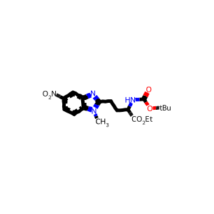 CCOC(=O)C(CCc1nc2cc([N+](=O)[O-])ccc2n1C)NC(=O)OC(C)(C)C